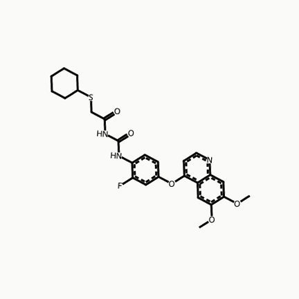 COc1cc2nccc(Oc3ccc(NC(=O)NC(=O)CSC4CCCCC4)c(F)c3)c2cc1OC